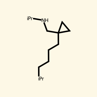 CC(C)CCCCC1(CNC(C)C)CC1